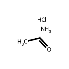 C[C]=O.Cl.N